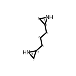 C(CC1CN1)CC1CN1